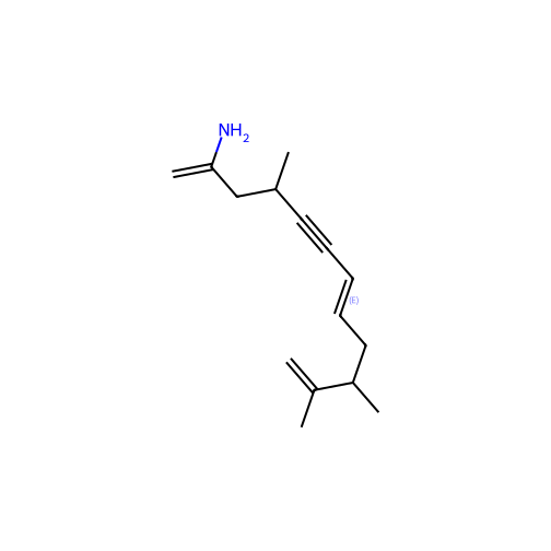 C=C(N)CC(C)C#C/C=C/CC(C)C(=C)C